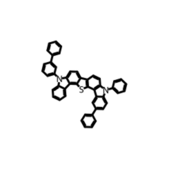 c1ccc(-c2cccc(-n3c4ccccc4c4c5sc6c(ccc7c6c6cc(-c8ccccc8)ccc6n7-c6ccccc6)c5ccc43)c2)cc1